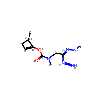 CN/N=C(/CN(C)C(=O)OC1=CC[C@H]1C)N=N